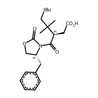 CC(C)(C)CC(C)(C)[C@@H](CC(=O)O)C(=O)N1C(=O)OC[C@H]1Cc1ccccc1